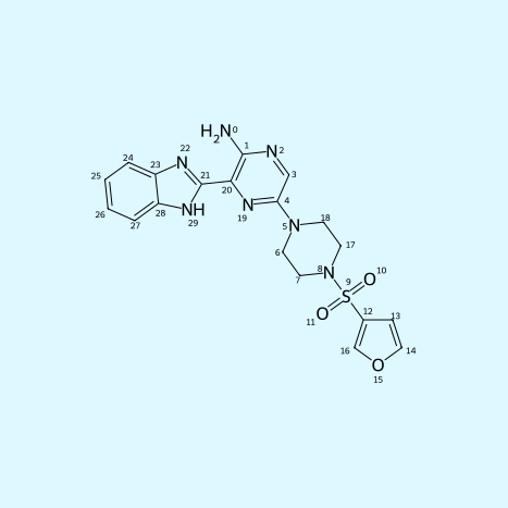 Nc1ncc(N2CCN(S(=O)(=O)c3ccoc3)CC2)nc1-c1nc2ccccc2[nH]1